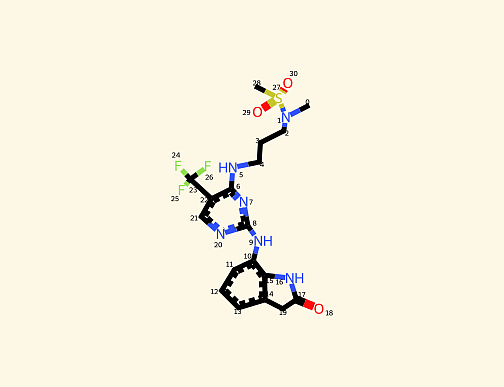 CN(CCCNc1nc(Nc2cccc3c2NC(=O)C3)ncc1C(F)(F)F)S(C)(=O)=O